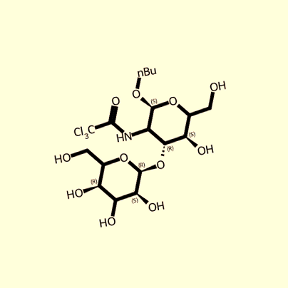 CCCCO[C@H]1OC(CO)[C@@H](O)[C@H](O[C@@H]2OC(CO)[C@H](O)C(O)[C@@H]2O)C1NC(=O)C(Cl)(Cl)Cl